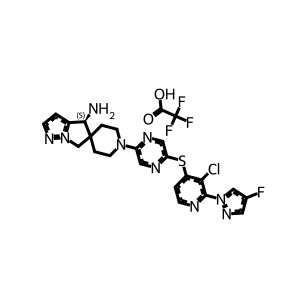 N[C@@H]1c2ccnn2CC12CCN(c1cnc(Sc3ccnc(-n4cc(F)cn4)c3Cl)cn1)CC2.O=C(O)C(F)(F)F